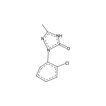 Cc1nn(-c2ccccc2Cl)c(=O)[nH]1